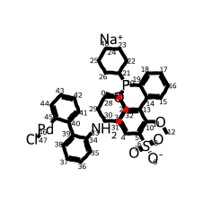 COc1ccc(S(=O)(=O)[O-])c(OC)c1-c1ccccc1P(C1CCCCC1)C1CCCCC1.Nc1ccccc1-c1cccc[c]1[Pd][Cl].[Na+]